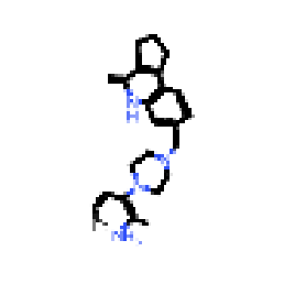 C=C1Nc2cc(CN3CCN(C(/C=C\CC)=C(\C)N)CC3)ccc2C2=C1CCC2